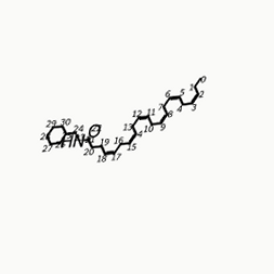 CC/C=C\C/C=C\C/C=C\C/C=C\C/C=C\C/C=C\CCC(=O)NCC1CCCCC1